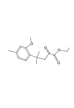 CCOC(=O)C(=O)CC(C)(C)c1ccc(C)cc1OC